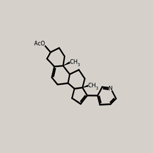 CC(=O)OC1CC[C@@]2(C)C(=CCC3C2CC[C@]2(C)C(c4cccnc4)=CCC32)C1